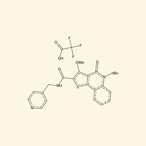 CCCCn1c(=O)c2c(OC)c(C(=O)NCc3ccncc3)sc2c2ccccc21.O=C(O)C(F)(F)F